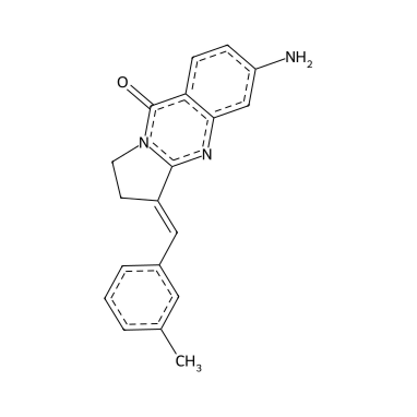 Cc1cccc(C=C2CCn3c2nc2cc(N)ccc2c3=O)c1